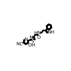 N#Cc1cnc(-c2nc(CC(=O)NCCc3c[nH]c4ccccc34)cs2)c(O)c1